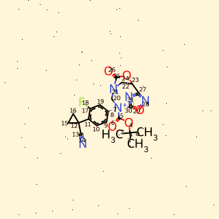 CC(C)(C)OC(=O)[N@@+]1(c2ccc(C3(C#N)CC3)c(F)c2)CN2CC(OC2=O)c2noc1n2